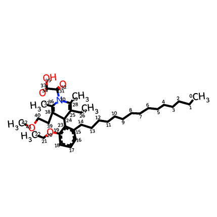 CCCCCCCCCCCCCCCc1cccc(OCC)c1C1C(CC)=C(C)N(C(=O)C(=O)O)C(C)=C1CCOC